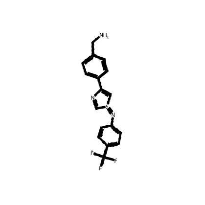 NCc1ccc(C2=CS(=Nc3ccc(C(F)(F)F)cc3)C=N2)cc1